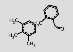 Cc1cccc(C)c1C.Cc1ccccc1P=O